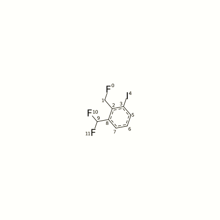 FCc1c(I)cccc1C(F)F